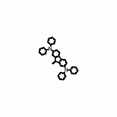 C=C1c2cc(N(c3ccccc3)c3ccccc3)ccc2-c2ccc(N(c3ccccc3)c3ccccc3)cc21